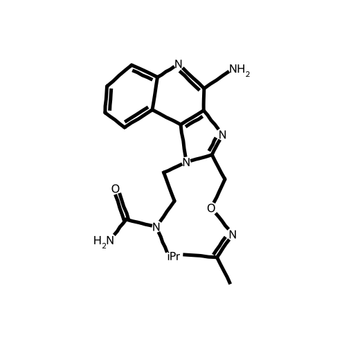 CC(C)=NOCc1nc2c(N)nc3ccccc3c2n1CCN(C(N)=O)C(C)C